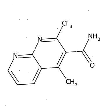 Cc1c(C(N)=O)c(C(F)(F)F)nc2ncccc12